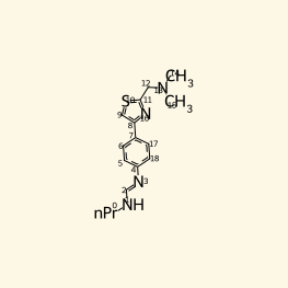 CCCNC=Nc1ccc(-c2csc(CN(C)C)n2)cc1